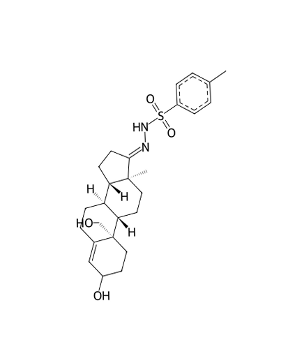 Cc1ccc(S(=O)(=O)N/N=C2\CC[C@H]3[C@@H]4CCC5=CC(O)CC[C@]5(CO)[C@H]4CC[C@]23C)cc1